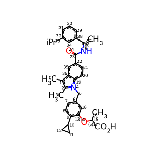 Cc1c(C)n(Cc2ccc(C3CC3)c(O[C@@H](C)C(=O)O)c2)c2ccc(C(=O)N[C@@H](C)c3cccc(C(C)C)c3)cc12